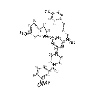 CCN(CCCc1ccc(Cl)cc1)c1nc(NCCc2ccc(O)cc2)nc(N2CCN(C(=O)c3cccc(OC)c3)CC2)n1